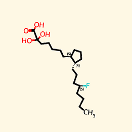 CCCC[C@H](F)CCC[C@H]1CCC[C@@H]1CCCCCC(O)(O)C(=O)O